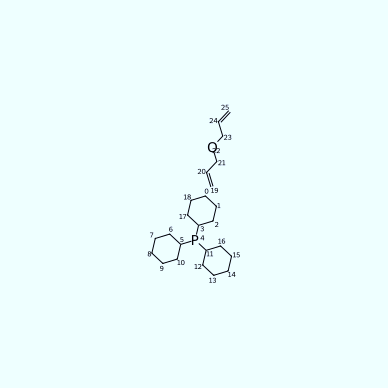 C1CCC(P(C2CCCCC2)C2CCCCC2)CC1.C=CCOCC=C